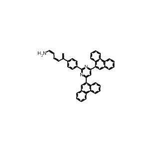 C=C(/C=C\C=C/N)c1ccc(-c2nc(-c3cc4ccccc4c4ccccc34)cc(-c3cc4ccccc4c4ccccc34)n2)cc1